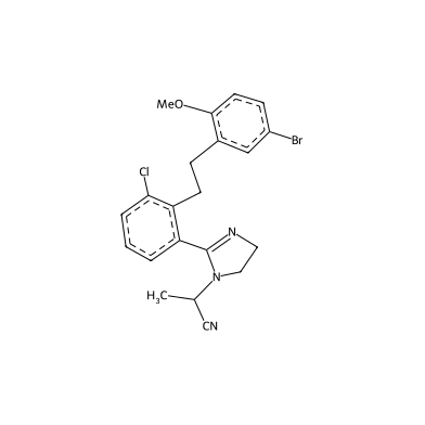 COc1ccc(Br)cc1CCc1c(Cl)cccc1C1=NCCN1C(C)C#N